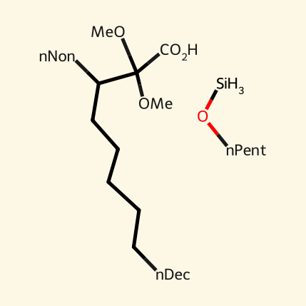 CCCCCCCCCCCCCCCC(CCCCCCCCC)C(OC)(OC)C(=O)O.CCCCCO[SiH3]